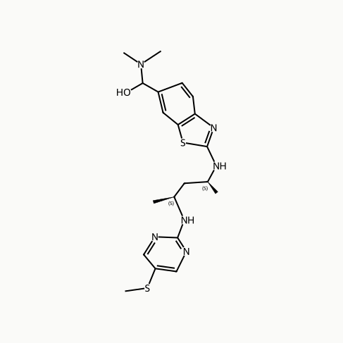 CSc1cnc(N[C@@H](C)C[C@H](C)Nc2nc3ccc(C(O)N(C)C)cc3s2)nc1